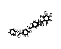 O=C(Nc1ccccn1)c1ccc2[nH]c(-c3ccc(NC(=O)c4c(F)c(F)c(F)c(F)c4F)cc3)nc2c1